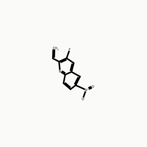 C=Cc1nc2ccc([N+](=O)[O-])cc2cc1F